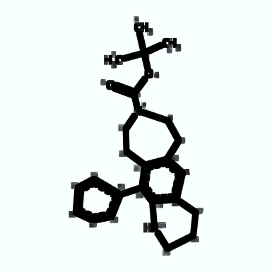 CC(C)(C)OC(=O)N1CCc2cc3c(c(-c4ccccc4)c2CC1)NCCC3